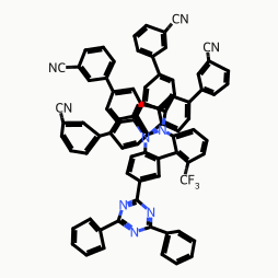 N#Cc1cccc(-c2ccc3c(c2)c2cc(-c4cccc(C#N)c4)ccc2n3-c2ccc(-c3nc(-c4ccccc4)nc(-c4ccccc4)n3)cc2-c2c(-n3c4ccc(-c5cccc(C#N)c5)cc4c4cc(-c5cccc(C#N)c5)ccc43)cccc2C(F)(F)F)c1